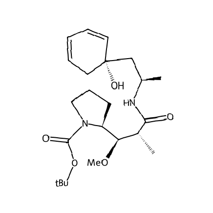 CO[C@H]([C@@H](C)C(=O)N[C@H](C)C[C@]1(O)C=CC=CC1)[C@@H]1CCCN1C(=O)OC(C)(C)C